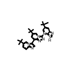 CC(C)(C)C1=CC2N=C[SH]=C2[N+](c2nnc3c(-c4cnc5ccc(C(C)(C)C)cn45)cc(C(C)(C)C)cn23)=C1